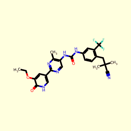 CCOc1cc(-c2ncc(NC(=O)Nc3ccc(CC(C)(C)C#N)c(C(F)(F)F)c3)c(C)n2)c[nH]c1=O